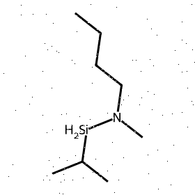 CCCCN(C)[SiH2]C(C)C